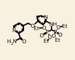 CCOP(=O)(OCC)C(Nc1cc(OCc2ccnc(C(N)=O)c2)ccn1)P(=O)(OCC)OCC